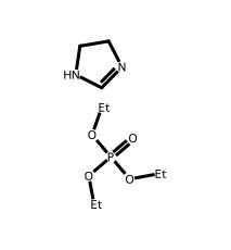 C1=NCCN1.CCOP(=O)(OCC)OCC